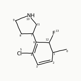 CC1C=CC(Cl)=C(C2CCNC2)C1F